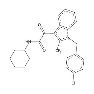 O=C(NC1CCCCC1)C(=O)c1c(C(F)(F)F)n(Cc2ccc(Cl)cc2)c2ccccc12